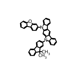 CC1(C)c2ccccc2-c2ccc(-n3c4ccccc4c4cc5c6ccccc6n(-c6ccc7c(c6)oc6ccccc67)c5cc43)cc21